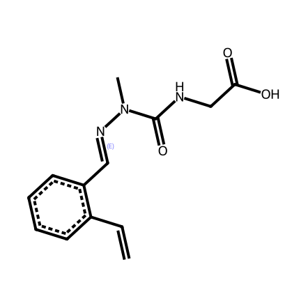 C=Cc1ccccc1/C=N/N(C)C(=O)NCC(=O)O